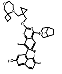 Oc1cc(-c2c(F)cc3c(N4CC5CCC(C4)N5)nc(OCC4(CN5CCOCC56CCC6)CC4)nc3c2F)c2c(F)c(F)ccc2c1